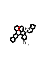 Cc1ccc2c([C@H]3C=Cc4ccccc4N3)c3ccccc3c(C3Cc4ccccc4C=C3c3ccccc3)c2c1